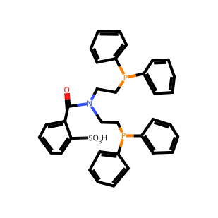 O=C(c1ccccc1S(=O)(=O)O)N(CCP(c1ccccc1)c1ccccc1)CCP(c1ccccc1)c1ccccc1